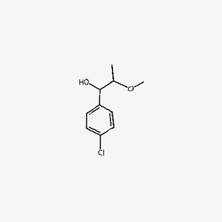 COC(C)C(O)c1ccc(Cl)cc1